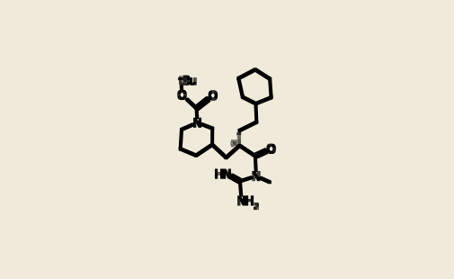 CN(C(=N)N)C(=O)[C@@H](CCC1CCCCC1)CC1CCCN(C(=O)OC(C)(C)C)C1